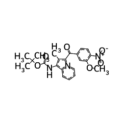 COc1cc(C(=O)c2c(C)c(NC(=O)OC(C)(C)C)c3ccccn23)ccc1[N+](=O)[O-]